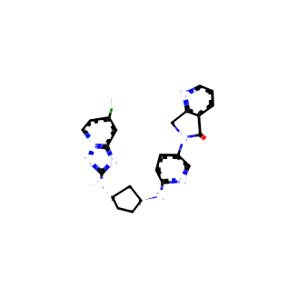 O=C1c2cccnc2CN1c1ccc(N[C@H]2CC[C@H](Nc3nc4cc(F)ccn4n3)C2)nc1